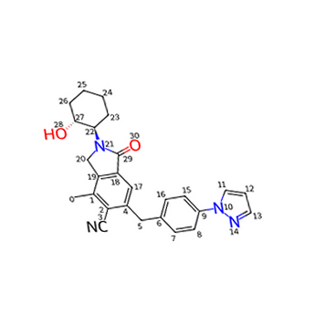 Cc1c(C#N)c(Cc2ccc(-n3cccn3)cc2)cc2c1CN([C@@H]1CCCC[C@H]1O)C2=O